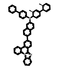 C[C@H]1C=CC=CC1C1=C[C@H](C)C(N(c2ccc(-c3ccccc3)cc2)c2ccc3cc(-c4ccc5c(c4)c4ccccc4n4c6ccccc6nc54)ccc3c2)C=C1